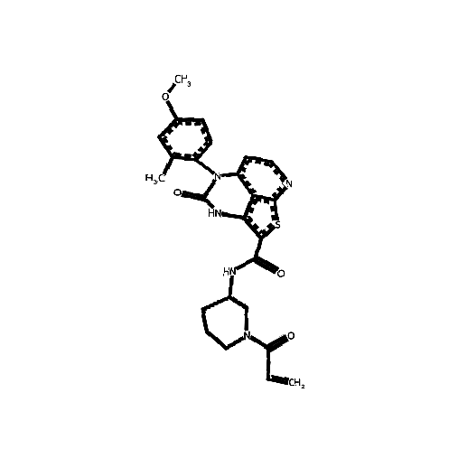 C=CC(=O)N1CCCC(NC(=O)c2sc3nccc4c3c2NC(=O)N4c2ccc(OC)cc2C)C1